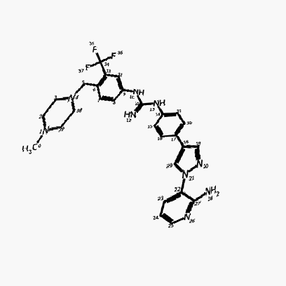 CN1CCN(Cc2ccc(NC(=N)Nc3ccc(-c4cnn(-c5cccnc5N)c4)cc3)cc2C(F)(F)F)CC1